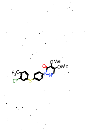 COc1cnn(-c2ccc(Sc3ccc(C(F)(F)F)c(Cl)c3)cc2)c(=O)c1OC